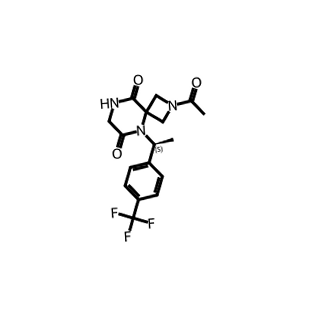 CC(=O)N1CC2(C1)C(=O)NCC(=O)N2[C@@H](C)c1ccc(C(F)(F)F)cc1